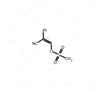 CC(C)/C(C#N)=C/OS(C)(=O)=O